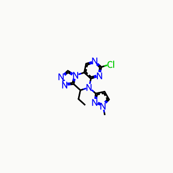 CCC1c2nncn2-c2cnc(Cl)nc2N1c1ccn(C)n1